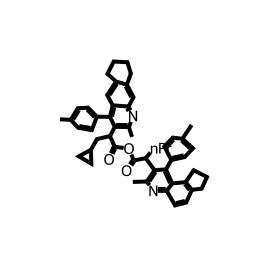 CCCC(C(=O)OC(=O)C(CC1CC1)c1c(C)nc2cc3c(cc2c1-c1ccc(C)cc1)CCCC3)c1c(C)nc2ccc3c(c2c1-c1ccc(C)cc1)CCC3